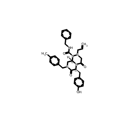 C=CCN1CC(=O)N2[C@@H](Cc3ccc(O)cc3)C(=O)N(Cc3ccc(C)cc3)C[C@@H]2N1C(=O)NCc1ccccc1